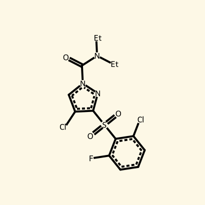 CCN(CC)C(=O)n1cc(Cl)c(S(=O)(=O)c2c(F)cccc2Cl)n1